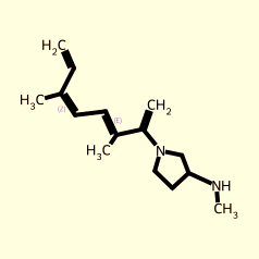 C=C/C(C)=C\C=C(/C)C(=C)N1CCC(NC)C1